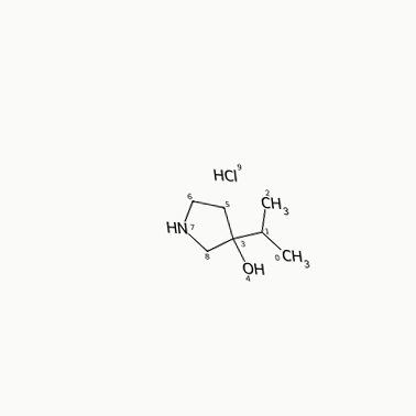 CC(C)C1(O)CCNC1.Cl